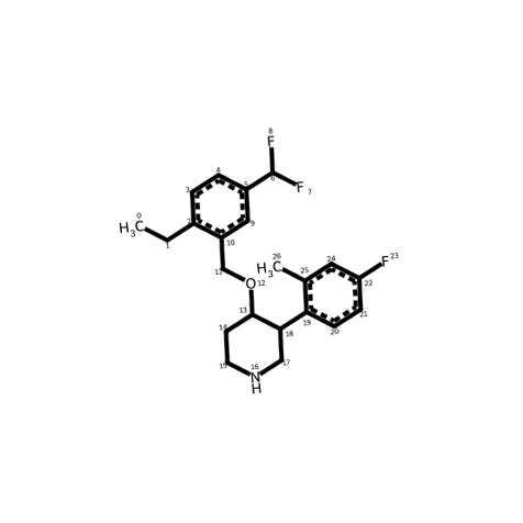 CCc1ccc(C(F)F)cc1COC1CCNCC1c1ccc(F)cc1C